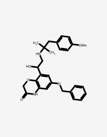 COc1ccc(CC(C)(C)NCC(O)c2cc(OCc3ccccc3)cc3c2OCC(=O)N3)cc1